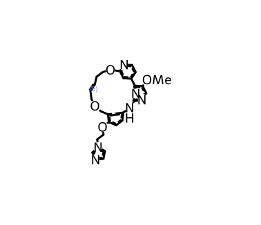 COc1cnc2nc1-c1ccnc(c1)OCC/C=C/COCc1cc(ccc1OCCn1ccnc1)N2